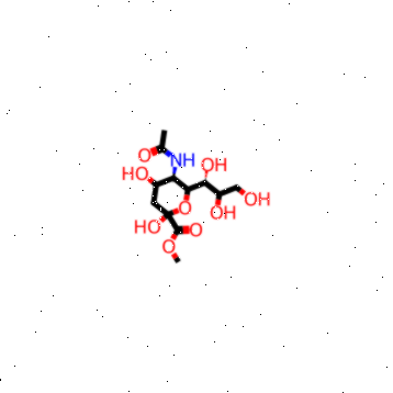 COC(=O)C1(O)CC(O)[C@@H](NC(C)=O)C([C@H](O)C(O)CO)O1